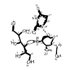 O=CC(O)C(O)C(O)C(O)CO.O=c1ccn([C@@H]2O[C@H](CO)[C@@H](O)[C@H]2O)c(=O)[nH]1